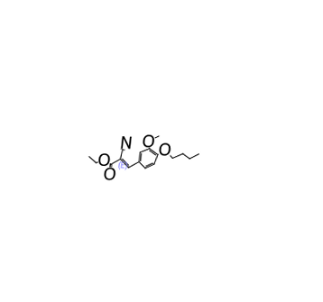 CCCCOc1ccc(/C=C(\C#N)C(=O)OCC)cc1OC